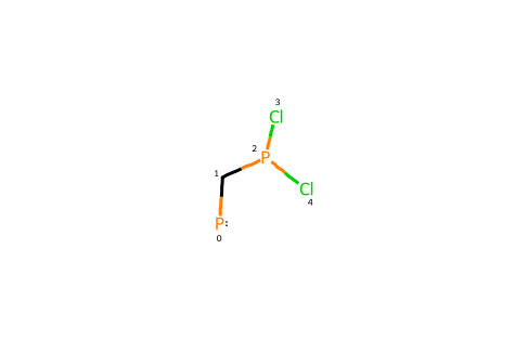 [P]CP(Cl)Cl